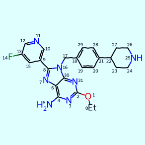 CCOc1nc(N)c2nc(-c3cncc(F)c3)n(Cc3ccc(C4CCNCC4)cc3)c2n1